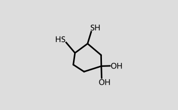 OC1(O)CCC(S)C(S)C1